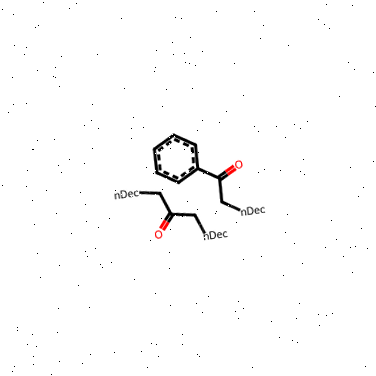 CCCCCCCCCCCC(=O)CCCCCCCCCCC.CCCCCCCCCCCC(=O)c1ccccc1